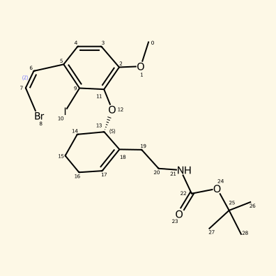 COc1ccc(/C=C\Br)c(I)c1O[C@H]1CCCC=C1CCNC(=O)OC(C)(C)C